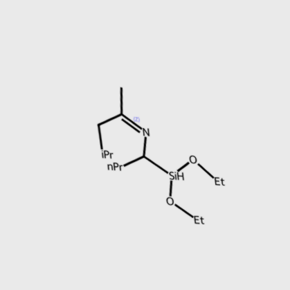 CCCC(/N=C(/C)CC(C)C)[SiH](OCC)OCC